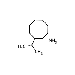 CN(C)C1CCCCCCC1.N